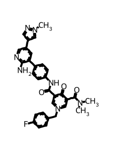 CN(C)C(=O)c1cn(Cc2ccc(F)cc2)cc(C(=O)Nc2ccc(-c3cc(-c4cnn(C)c4)cnc3N)cc2)c1=O